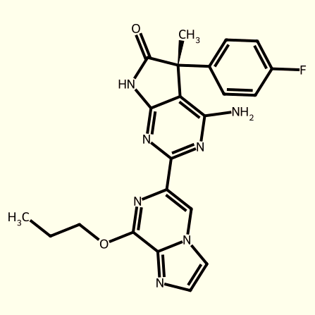 CCCOc1nc(-c2nc(N)c3c(n2)NC(=O)[C@]3(C)c2ccc(F)cc2)cn2ccnc12